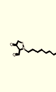 CCCCCCCCN1SCC(=O)C1C=O